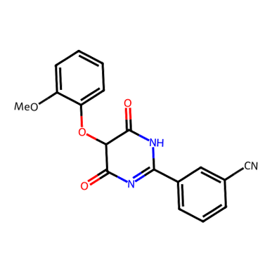 COc1ccccc1OC1C(=O)N=C(c2cccc(C#N)c2)NC1=O